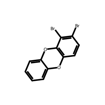 Brc1ccc2c(c1Br)Oc1ccccc1O2